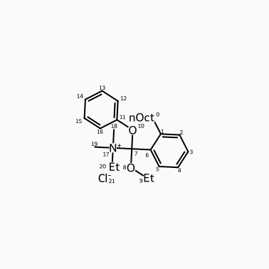 CCCCCCCCc1ccccc1C(OCC)(Oc1ccccc1)[N+](C)(C)CC.[Cl-]